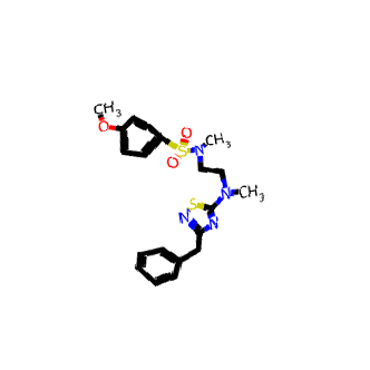 COc1ccc(S(=O)(=O)N(C)CCN(C)c2nc(Cc3ccccc3)ns2)cc1